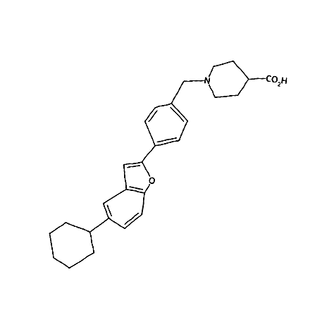 O=C(O)C1CCN(Cc2ccc(-c3cc4cc(C5CCCCC5)ccc4o3)cc2)CC1